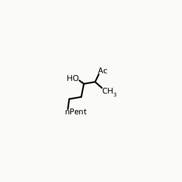 CCCCCCCC(O)C(C)C(C)=O